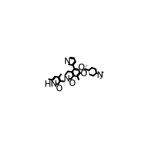 Cc1cc(C)c(CN2CCc3c(c(C)c4c(c3-c3cccnc3)O[C@@](C)([C@H]3CC[C@H](N(C)C)CC3)O4)C2=O)c(=O)[nH]1